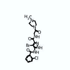 CN1CCN(C(=O)CNC(=O)c2n[nH]c(NC(=O)c3ccccc3Cl)c2Br)CC1